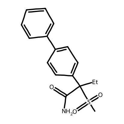 CCC(C(N)=O)(c1ccc(-c2ccccc2)cc1)S(C)(=O)=O